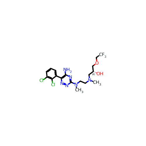 CN(CCN(C)c1nnc(-c2cccc(Cl)c2Cl)c(N)n1)C[C@@H](O)COCC(F)(F)F